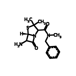 CN(Cc1ccccc1)C(=O)C1N2C(=O)C(N)[C@@H]2SC1(C)C